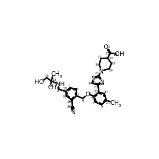 Cc1ccc(OCc2ccc(CNC(C)(C)CO)cc2C#N)c(-c2csc(N3CCC(C(=O)O)CC3)n2)c1